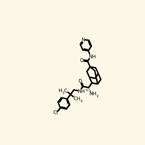 CC(C)(CNC(=O)[C@@H](N)C1C2CC3CC1CC(C(=O)Nc1ccncc1)(C3)C2)c1ccc(Cl)cc1